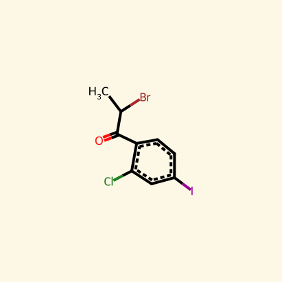 CC(Br)C(=O)c1ccc(I)cc1Cl